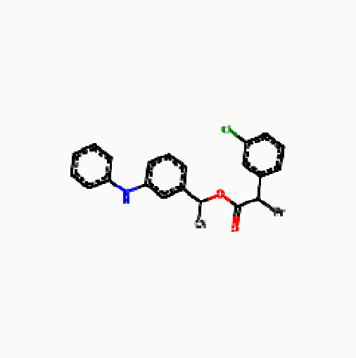 CC(C)C(C(=O)OC(C#N)c1cccc(Nc2ccccc2)c1)c1cccc(Cl)c1